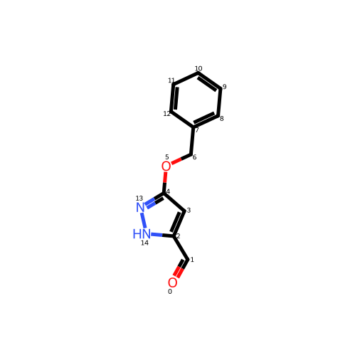 O=Cc1cc(OCc2ccccc2)n[nH]1